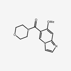 COc1cc2nccn2cc1C(=O)N1CCOCC1